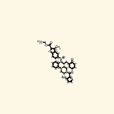 CCOC(=O)c1sc2ccc([S+]([O-])N(CCc3ccccc3Cl)c3ccccc3N3CCN(C(=O)c4sccc4Br)CC3)cc2c1C